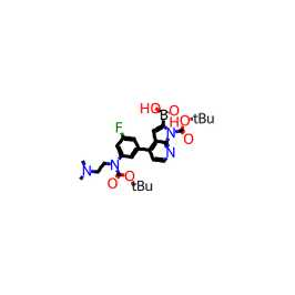 CN(C)CCN(C(=O)OC(C)(C)C)c1cc(F)cc(-c2ccnc3c2cc(B(O)O)n3C(=O)OC(C)(C)C)c1